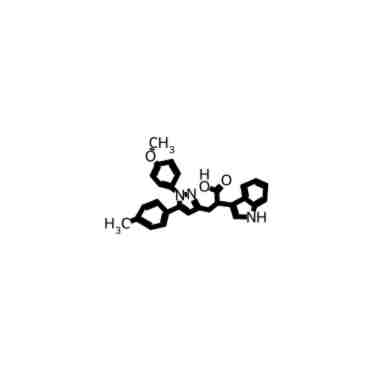 COc1ccc(-n2nc(CC(C(=O)O)c3c[nH]c4ccccc34)cc2-c2ccc(C)cc2)cc1